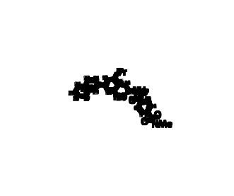 CNS(=O)(=O)c1ccc(S(=O)(=O)NC(O)Cc2c(C(C)C)cc(-c3ccc4ccccc4c3)cc2C(C)C)cc1